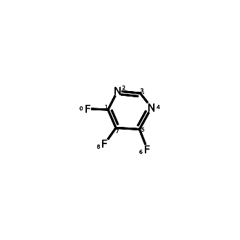 Fc1n[c]nc(F)c1F